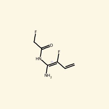 C=C/C(F)=C(\N)NC(=O)CF